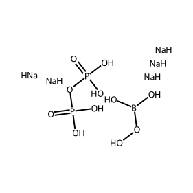 O=P(O)(O)OP(=O)(O)O.OOB(O)O.[NaH].[NaH].[NaH].[NaH].[NaH]